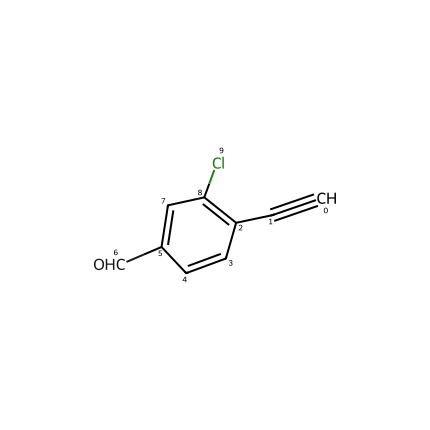 C#Cc1ccc(C=O)cc1Cl